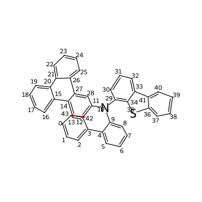 c1ccc(-c2ccccc2N(c2ccc3c4ccccc4c4ccccc4c3c2)c2cccc3c2sc2ccccc23)cc1